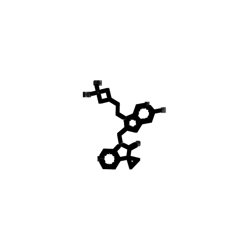 O=C1N(Cc2cc3cc(Cl)ncc3n2CCC2CS(O)(O)C2)c2cnccc2C12CC2